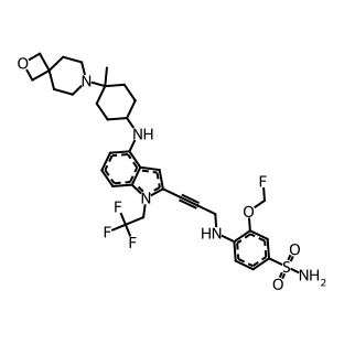 CC1(N2CCC3(CC2)COC3)CCC(Nc2cccc3c2cc(C#CCNc2ccc(S(N)(=O)=O)cc2OCF)n3CC(F)(F)F)CC1